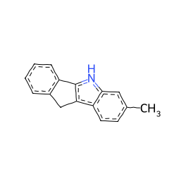 Cc1ccc2c3c([nH]c2c1)-c1ccccc1C3